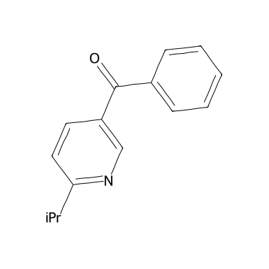 CC(C)c1ccc(C(=O)c2ccccc2)cn1